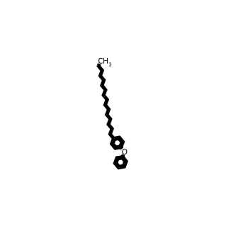 CCCCCCCCCCCCCCCCc1ccc(Oc2ccccc2)cc1